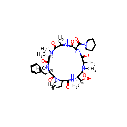 CC(C)CC1C(=O)N[C@@H]([C@@H](C)O)C(=O)N(C)C(C)C(=O)/N=C(/C(=O)N2CCCCC2)C(=O)NC(C)C(=O)N(C)[C@@H](C)C(=O)N(C)[C@@H](Cc2ccccc2)C(=O)N1C